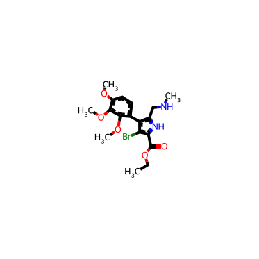 CCOC(=O)c1[nH]c(CNC)c(-c2ccc(OC)c(OC)c2OC)c1Br